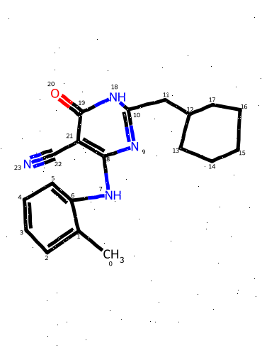 Cc1ccccc1Nc1nc(CC2CCCCC2)[nH]c(=O)c1C#N